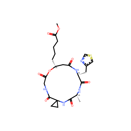 COC(=O)CCCC[C@@H]1CC(=O)N[C@H](Cc2cscn2)C(=O)N[C@H](C)C(=O)NC2(CC2)C(=O)NCC(=O)O1